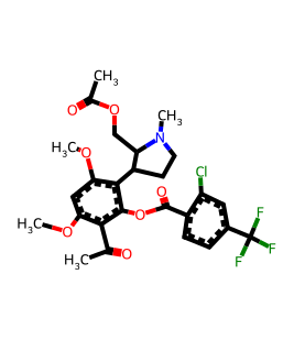 COc1cc(OC)c(C2CCN(C)C2COC(C)=O)c(OC(=O)c2ccc(C(F)(F)F)cc2Cl)c1C(C)=O